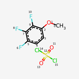 COc1ccc(F)c(F)c1F.O=S(=O)(Cl)Cl